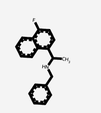 CC(NCc1ccccc1)c1ccc(F)c2ccccc12